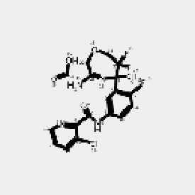 CC1(c2cc(NC(=O)c3ncccc3Cl)ccc2F)N=C(N)COCC1(F)F.O=CO